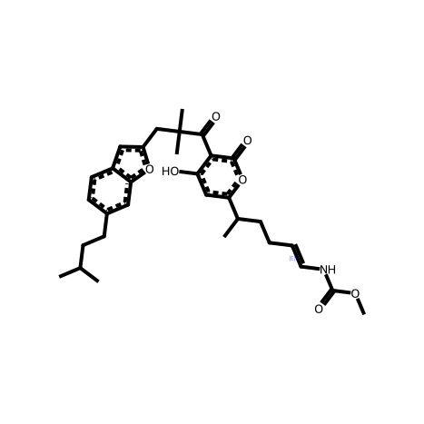 COC(=O)N/C=C/CCC(C)c1cc(O)c(C(=O)C(C)(C)Cc2cc3ccc(CCC(C)C)cc3o2)c(=O)o1